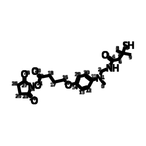 CN(CNC(=O)CC(C)(C)S)c1ccc(OCCCC(=O)ON2C(=O)CCC2=O)cc1